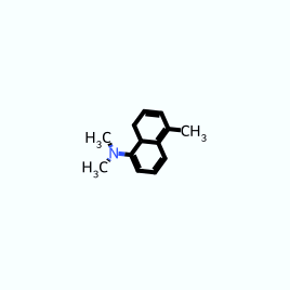 CC1=C2C=CC=C(N(C)C)C2CC=C1